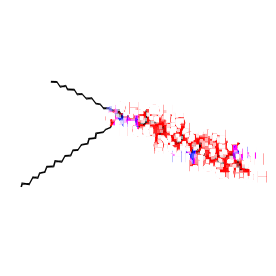 CCCCCCCCCCCCC/C=C/[C@@H](O)[C@H](CO[C@@H]1OC(CO)[C@@H](O[C@@H]2OC(CO)[C@H](O[C@@H]3OC(CO)[C@H](O)[C@H](O[C@@H]4OC(CO)[C@H](O)[C@H](O[C@@H]5OC(CO)[C@H](O)[C@H](O[C@]6(C(=O)O)CC(O)[C@@H](NC(C)=O)C([C@H](O)[C@H](O)CO)O6)C5O)C4NC(C)=O)C3O)[C@H](O)C2O)[C@H](O)C1O)NC(=O)CCCCCCCCCCCCCCCCCCCCCCC